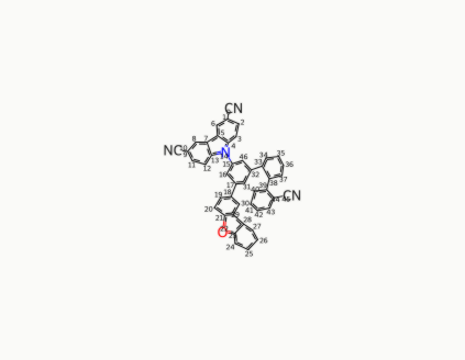 N#Cc1ccc2c(c1)c1cc(C#N)ccc1n2-c1cc(-c2ccc3oc4ccccc4c3c2)cc(-c2ccccc2-c2ccccc2C#N)c1